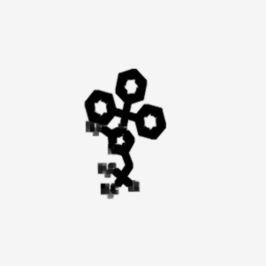 CCC(C)(C)Cc1cn(C(c2ccccc2)(c2ccccc2)c2ccccc2)c(C)n1